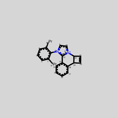 CC(C)c1cccc(C(C)C)c1-n1cc[n+]2c1-c1ccccc1C1C=CC12